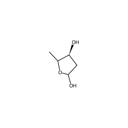 CC1OC(O)C[C@@H]1O